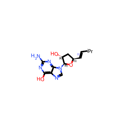 CC(C)/C=C/[C@@H]1C[C@@H](O)[C@H](n2cnc3c(O)nc(N)nc32)O1